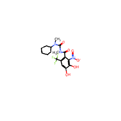 CN(C(=O)c1c(C(F)(F)F)cc(O)c(O)c1[N+](=O)[O-])C(=O)N(C)C1CCCCC1